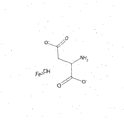 Cl.NC(CC(=O)[O-])C(=O)[O-].[Fe+2]